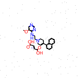 COc1cncnc1NCCN1CC=C(c2cccc3ccccc23)CC1.O=C(O)/C=C/C(=O)O